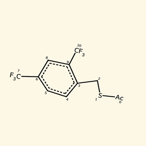 CC(=O)SCc1ccc(C(F)(F)F)cc1C(F)(F)F